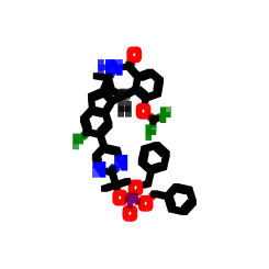 CC12C[C@@H](c3c(OC(F)F)cccc3C(=O)N1)C1C2=Cc2cc(F)c(-c3cnc(C(C)(C)OP(=O)(OCc4ccccc4)OCc4ccccc4)nc3)cc21